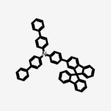 c1ccc(-c2ccc(N(c3ccc(-c4ccccc4)cc3)c3ccc(-c4ccc5c(c4)C4(c6ccccc6-c6ccccc64)c4ccccc4-5)cc3)cc2)cc1